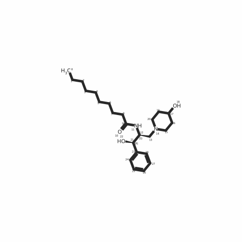 CCCCCCCCCC(=O)N[C@@H](CN1CCC(O)CC1)[C@H](O)c1ccccc1